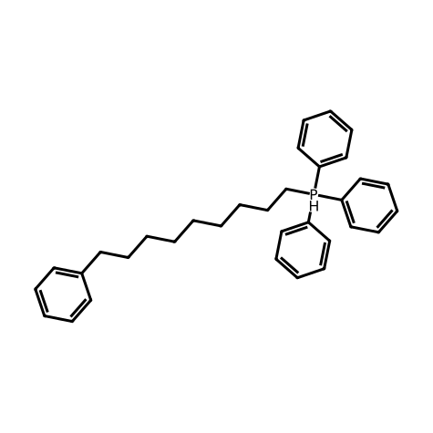 c1ccc(CCCCCCCCC[PH](c2ccccc2)(c2ccccc2)c2ccccc2)cc1